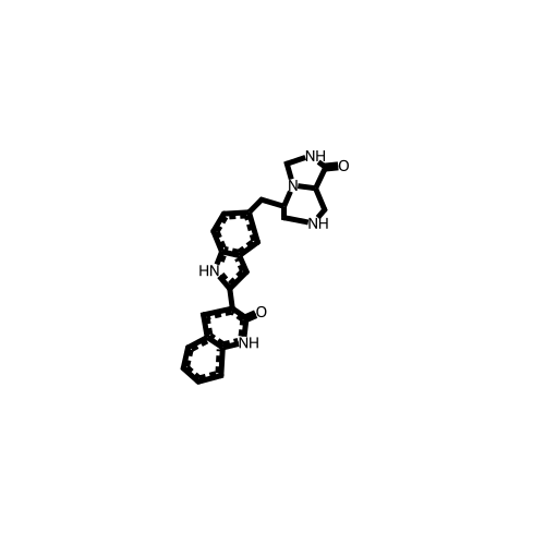 O=C1NCN2C(Cc3ccc4[nH]c(-c5cc6ccccc6[nH]c5=O)cc4c3)CNCC12